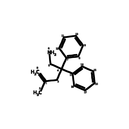 C=C(C)CC(CN)(c1ccccc1)c1ccccc1